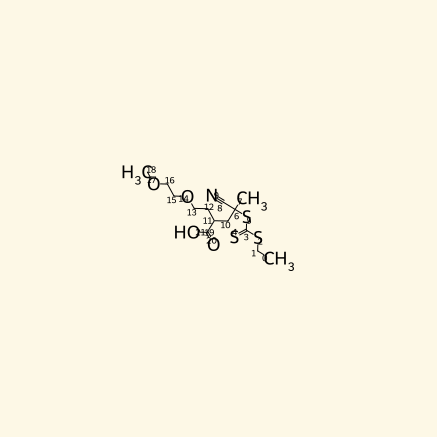 CCSC(=S)SC(C)(C#N)CC(CCOCCOC)C(=O)O